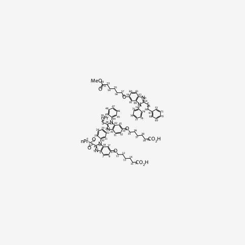 CCCS(=O)(=O)c1nc2ccc(OCCCCCC(=O)O)cc2n1-c1ccccc1.CCCSc1nc2ccc(OCCCCCC(=O)O)cc2n1-c1ccccc1.COC(=O)CCCCCOc1ccc2nc(SCc3ccccc3)n(-c3ccccc3)c2c1